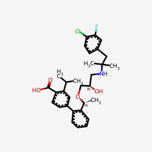 CC(C)c1cc(-c2ccccc2[C@@H](C)OC[C@H](O)CNC(C)(C)Cc2ccc(Cl)c(F)c2)ccc1C(=O)O